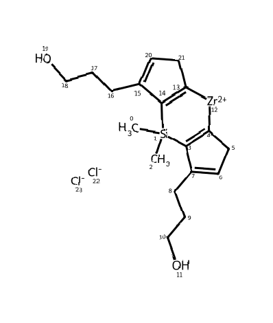 C[Si]1(C)C2=[C](CC=C2CCCO)[Zr+2][C]2=C1C(CCCO)=CC2.[Cl-].[Cl-]